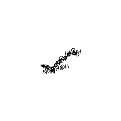 N#Cc1cnn2cc(-c3ccc(N4CCN(C(=O)CN5CCC(c6ccc(NC7CCC(=O)NC7=O)cc6)CC5)CC4)cc3)cc(-c3ccc(N4CC5CC5C4)nc3)c12.O=CO